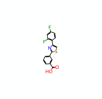 O=C(O)c1cccc(-c2nc(-c3ccc(F)cc3F)cs2)c1